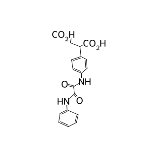 O=C(O)CC(C(=O)O)c1ccc(NC(=O)C(=O)Nc2ccccc2)cc1